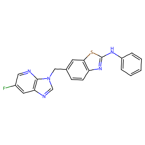 Fc1cnc2c(c1)ncn2Cc1ccc2nc(Nc3ccccc3)sc2c1